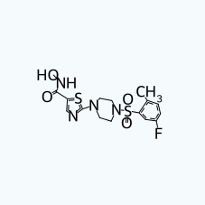 Cc1ccc(F)cc1S(=O)(=O)N1CCN(c2ncc(C(=O)NO)s2)CC1